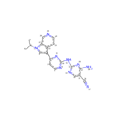 CC(C)n1cc(-c2ccnc(Nc3ncc(C#N)c(N)n3)n2)c2ccncc21